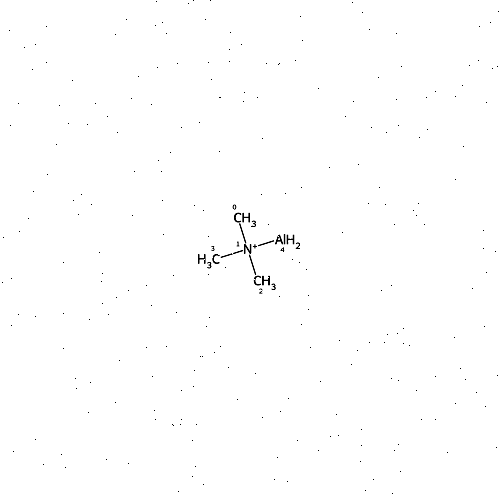 C[N+](C)(C)[AlH2]